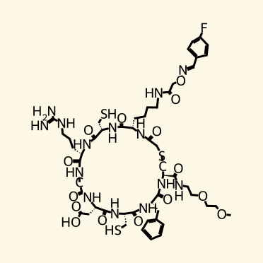 COCCOCCNC(=O)[C@@H]1CSCC(=O)N[C@@H](CCCCNC(=O)CO/N=C/c2ccc(F)cc2)C(=O)N[C@@H](CS)C(=O)N[C@@H](CCCNC(=N)N)C(=O)NCC(=O)N[C@@H](CC(=O)O)C(=O)N[C@@H](CS)C(=O)N[C@@H](Cc2ccccc2)C(=O)N1